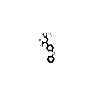 CC(C)CC(C(=O)O)c1ccc(Oc2ccccc2)cc1